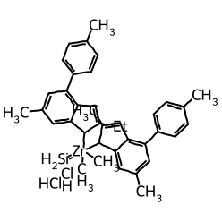 CCC1=Cc2c(-c3ccc(C)cc3)cc(C)cc2[CH]1[Zr]([CH3])([CH3])(=[SiH2])[CH]1C(C)=Cc2c(-c3ccc(C)cc3)cc(C)cc21.Cl.Cl